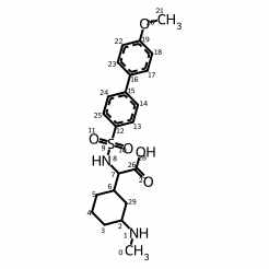 CNC1CCCC(C(NS(=O)(=O)c2ccc(-c3ccc(OC)cc3)cc2)C(=O)O)C1